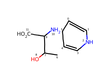 C1=CNC=CC1.CC(O)C(N)C(=O)O